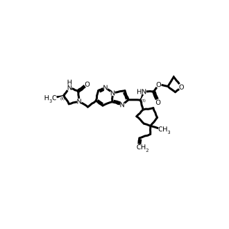 C=CCC1(C)CCC([C@H](NC(=O)OC2COC2)c2cn3ncc(CN4C[C@@H](C)NC4=O)cc3n2)CC1